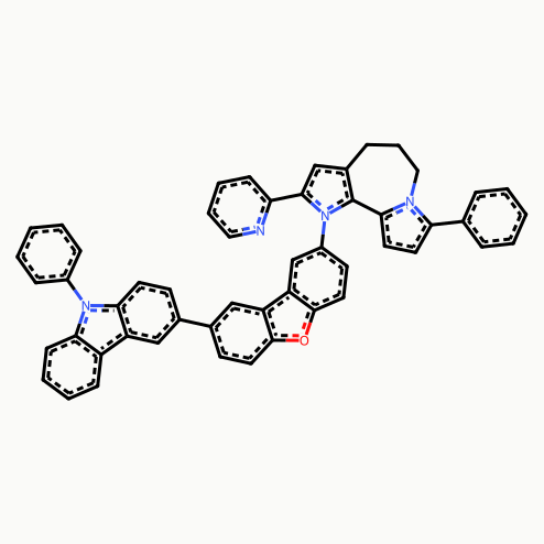 c1ccc(-c2ccc3n2CCCc2cc(-c4ccccn4)n(-c4ccc5oc6ccc(-c7ccc8c(c7)c7ccccc7n8-c7ccccc7)cc6c5c4)c2-3)cc1